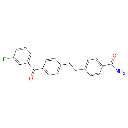 NC(=O)c1ccc(CCc2ccc(C(=O)c3cccc(F)c3)cc2)cc1